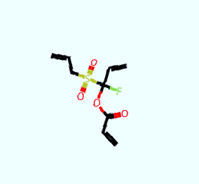 C=CCS(=O)(=O)C(F)(C=C)OC(=O)C=C